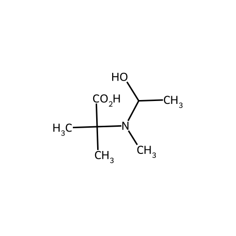 CC(O)N(C)C(C)(C)C(=O)O